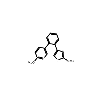 CNc1nc(-c2ccccc2-c2ccc(OC)nc2)cs1